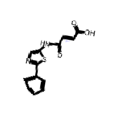 O=C(O)/C=C/C(=O)Nc1cnc(-c2ccccc2)s1